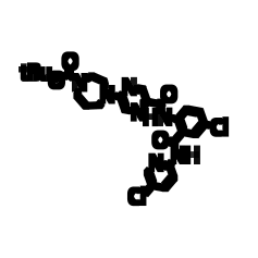 CC(C)(C)OC(=O)N1CCCN(c2cnc(C(=O)Nc3ccc(Cl)cc3C(=O)Nc3ccc(Cl)cn3)cn2)CC1